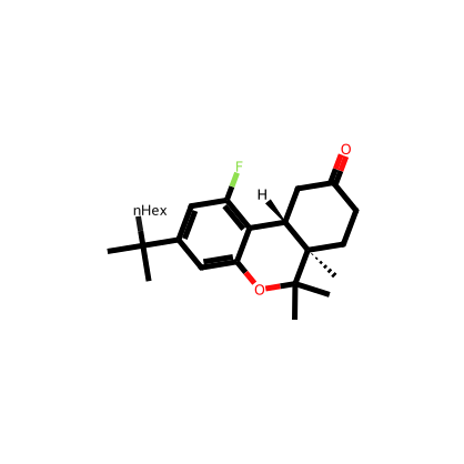 CCCCCCC(C)(C)c1cc(F)c2c(c1)OC(C)(C)[C@]1(C)CCC(=O)C[C@@H]21